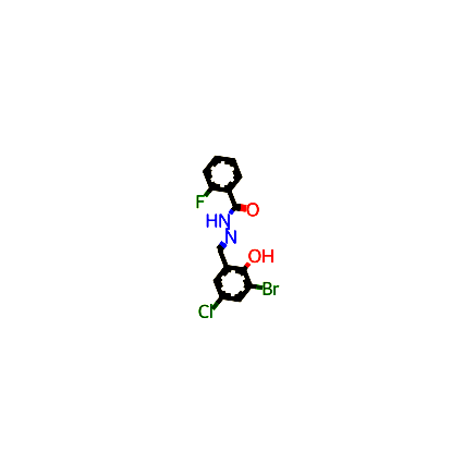 O=C(N/N=C/c1cc(Cl)cc(Br)c1O)c1ccccc1F